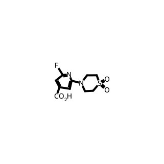 O=C(O)c1cc(F)nc(N2CCS(=O)(=O)CC2)c1